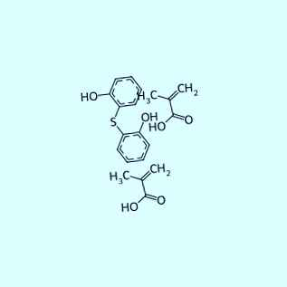 C=C(C)C(=O)O.C=C(C)C(=O)O.Oc1ccccc1Sc1ccccc1O